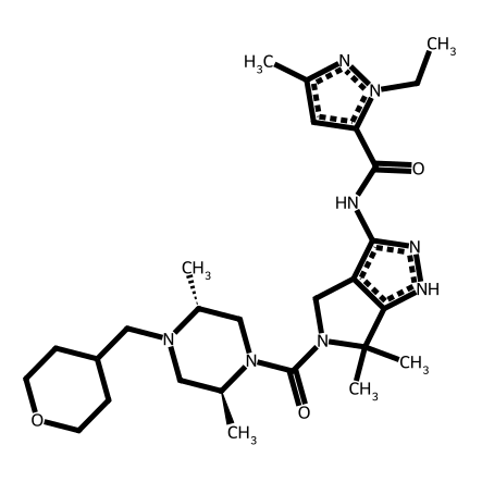 CCn1nc(C)cc1C(=O)Nc1n[nH]c2c1CN(C(=O)N1C[C@@H](C)N(CC3CCOCC3)C[C@@H]1C)C2(C)C